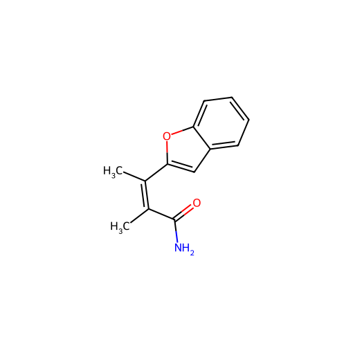 CC(C(N)=O)=C(C)c1cc2ccccc2o1